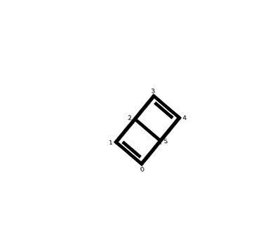 C1=CC2C=C[C]12